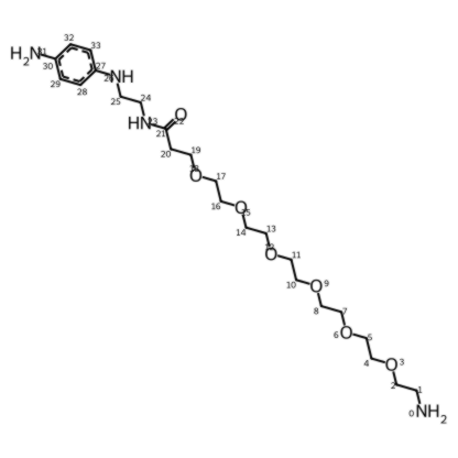 NCCOCCOCCOCCOCCOCCOCCC(=O)NCCNc1ccc(N)cc1